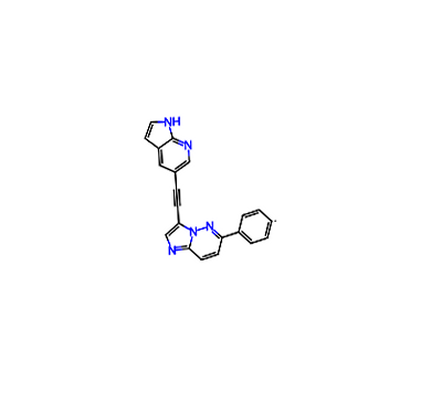 C(#Cc1cnc2ccc(-c3cc[c]cc3)nn12)c1cnc2[nH]ccc2c1